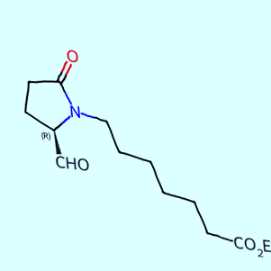 CCOC(=O)CCCCCCN1C(=O)CC[C@@H]1C=O